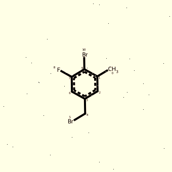 Cc1cc(CBr)cc(F)c1Br